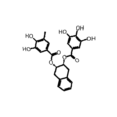 Cc1cc(C(=O)O[C@@H]2Cc3ccccc3C[C@@H]2OC(=O)c2cc(O)c(O)c(O)c2)cc(O)c1O